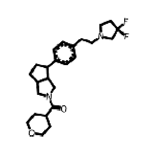 O=C(C1CCOCC1)N1CC2CCC(c3ccc(CCN4CCC(F)(F)C4)cc3)C2C1